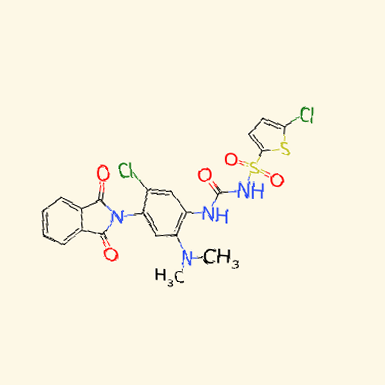 CN(C)c1cc(N2C(=O)c3ccccc3C2=O)c(Cl)cc1NC(=O)NS(=O)(=O)c1ccc(Cl)s1